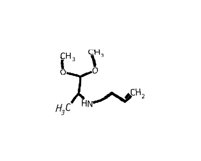 C=CCNC(C)C(OC)OC